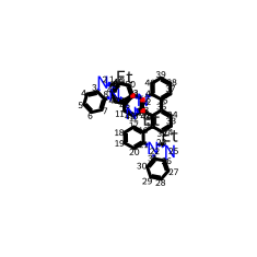 CCc1nc2ccccc2n1-c1ccc(-c2c(-c3ccccc3-n3c(CC)nc4ccccc43)cccc2-c2ccccc2-n2c(CC)nc3ccccc32)cc1